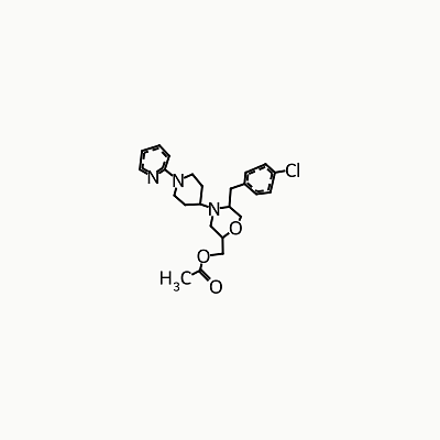 CC(=O)OCC1CN(C2CCN(c3ccccn3)CC2)C(Cc2ccc(Cl)cc2)CO1